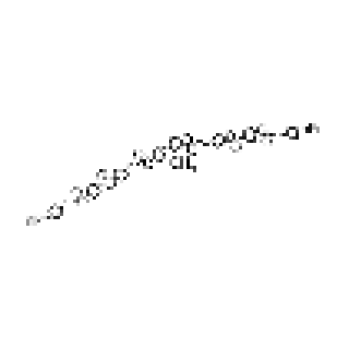 CCCc1ccc(CCC(=O)Oc2ccc(C(=O)Oc3ccc(CCC(=O)Oc4ccc5c(c4)C(C)c4cc(OC(=O)CCc6ccc(OC(=O)c7ccc(OC(=O)CCc8ccc(CCC)cc8)cc7)cc6)ccc4-5)cc3)cc2)cc1